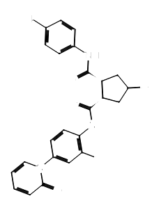 O=C(Nc1ccc(Cl)cc1)[C@H]1CC(O)C[C@H]1C(=O)Nc1ccc(-n2ccccc2=O)cc1F